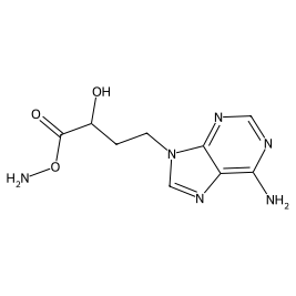 NOC(=O)C(O)CCn1cnc2c(N)ncnc21